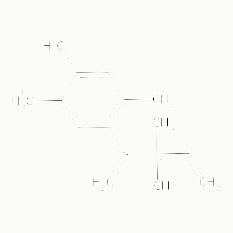 C=CC(C)(C)C(=C)c1cc(C)c(C)cc1C